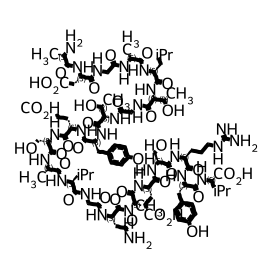 CC(C)C[C@H](NC(=O)[C@H](C)NC(=O)CNC(=O)[C@H](CC(=O)O)NC(=O)[C@H](C)N)C(=O)N[C@H](C(=O)NCC(=O)N[C@H](C(=O)N[C@@H](Cc1ccc(O)cc1)C(=O)N[C@@H](CCC(=O)O)C(=O)N[C@@H](CO)C(=O)N[C@@H](C)C(=O)N[C@H](C(=O)NCC(=O)N[C@@H](CC(N)=O)C(=O)N[C@@H](C)C(=O)N[C@@H](CCC(=O)O)C(=O)N[C@@H](CO)C(=O)N[C@@H](CCCNC(=N)N)C(=O)N[C@@H](Cc1ccc(O)cc1)C(=O)N[C@H](C(=O)O)C(C)C)C(C)C)[C@@H](C)O)[C@@H](C)O